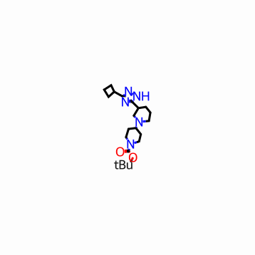 CC(C)(C)OC(=O)N1CCC(N2CCCC(c3nc(C4CCC4)n[nH]3)C2)CC1